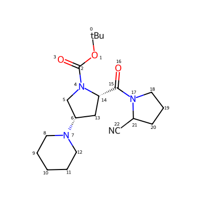 CC(C)(C)OC(=O)N1C[C@@H](N2CCCCC2)C[C@H]1C(=O)N1CCCC1C#N